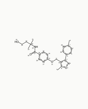 Cc1ccc(-c2noc(C)c2COc2ccc(C(=O)NC(C)(C)CCO)nn2)cn1